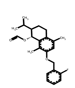 Cc1cc(OCc2ccccc2F)c(C)c2c1CCC(C(C)C)[C@H]2OC=O